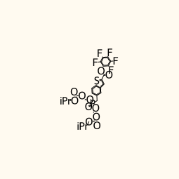 CC(C)OC(=O)OCOP(=O)(Cc1ccc2sc(C(=O)Oc3c(F)c(F)c(F)c(F)c3F)cc2c1)OCOC(=O)OC(C)C